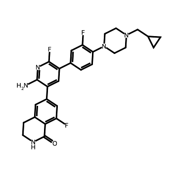 Nc1nc(F)c(-c2ccc(N3CCN(CC4CC4)CC3)c(F)c2)cc1-c1cc(F)c2c(c1)CCNC2=O